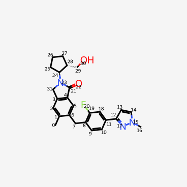 Cc1cc2c(cc1Cc1ccc(-c3ccn(C)n3)cc1F)C(=O)N([C@H]1CCC[C@@H]1CO)C2